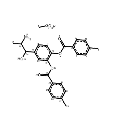 CS(=O)(=O)O.Cc1ccc(C(=O)Oc2ccc(C(O)C(C)N)cc2OC(=O)c2ccc(C)cc2)cc1